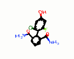 NC(=O)c1cccc(C(N)=O)c1-c1c(F)cc(O)cc1Cl